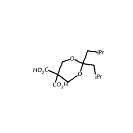 CC(C)CC1(CC(C)C)OCC(C(=O)O)(C(=O)O)CO1